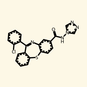 O=C(Nn1cnnc1)c1ccc2c(c1)N=C(c1ccccc1Cl)c1ccccc1S2